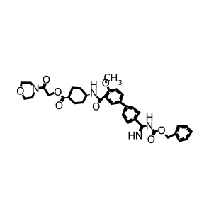 COc1ccc(-c2ccc(C(=N)NC(=O)OCc3ccccc3)cc2)cc1C(=O)N[C@H]1CC[C@H](C(=O)OCC(=O)N2CCOCC2)CC1